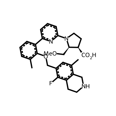 COC[C@@H]1[C@H](C(=O)O)CCN1c1cccc(-c2cccc(C)c2OCc2cc(C)c3c(c2F)CCNC3)n1